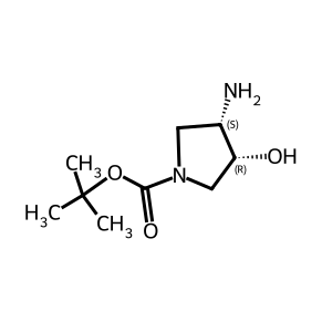 CC(C)(C)OC(=O)N1C[C@@H](O)[C@@H](N)C1